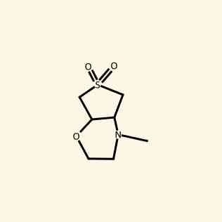 CN1CCOC2CS(=O)(=O)CC21